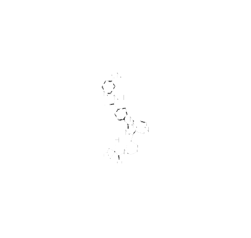 CC1(C(=O)N2CCCC(C3=C4C=NC=C[N+]4(N)C(c4ccc(C(=O)Nc5cc(C#N)ccn5)cc4)=N3)C2)COC1